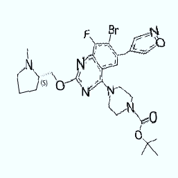 CN1CCC[C@H]1COc1nc(N2CCN(C(=O)OC(C)(C)C)CC2)c2cc(-c3cnoc3)c(Br)c(F)c2n1